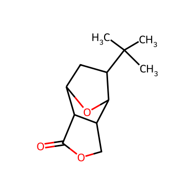 CC(C)(C)C1CC2OC1C1COC(=O)C21